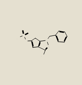 N#Cc1nn(Cc2ccccc2)c2c1C=C(OS(=O)(=O)C(F)(F)F)C2